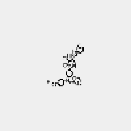 CCOc1ccc(N(C[C@@H]2COCCO2)[C@H]2CC[C@H](n3ncc(NC[C@@]4(F)CCCOC4)c(Cl)c3=O)CC2)cc1